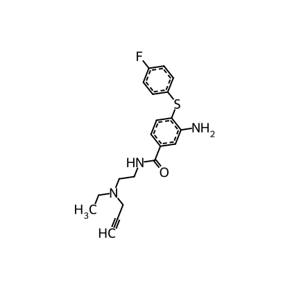 C#CCN(CC)CCNC(=O)c1ccc(Sc2ccc(F)cc2)c(N)c1